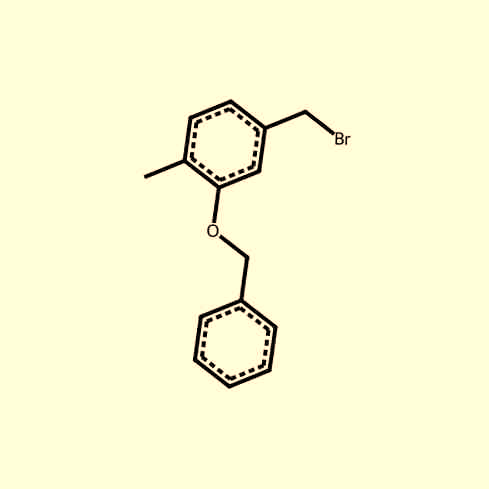 Cc1ccc(CBr)cc1OCc1ccccc1